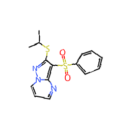 CC(C)Sc1nn2cccnc2c1S(=O)(=O)c1ccccc1